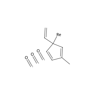 C=C[C]1([Re])C=CC(C)=C1.[C]=O.[C]=O.[C]=O